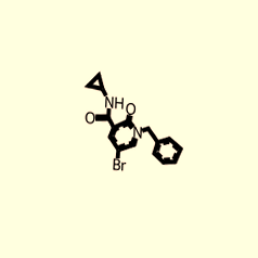 O=C(NC1CC1)c1cc(Br)cn(Cc2ccccc2)c1=O